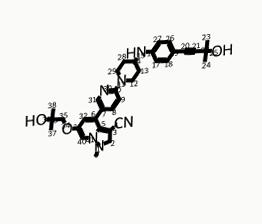 CN1CC(C#N)=C2C(c3ccc(N4CCC(Nc5ccc(C#CC(C)(C)O)cc5)CC4)nc3)=CC(OCC(C)(C)O)=CN21